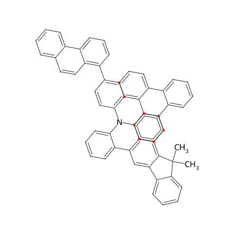 CC1(C)c2ccccc2-c2cc(-c3ccccc3N(c3ccc(-c4cccc5c4ccc4ccccc45)cc3)c3ccccc3-c3ccccc3-c3ccccc3-c3ccccc3)ccc21